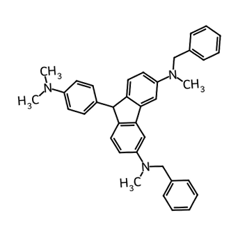 CN(C)c1ccc(C2c3ccc(N(C)Cc4ccccc4)cc3-c3cc(N(C)Cc4ccccc4)ccc32)cc1